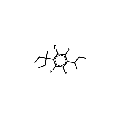 CCC(C)c1c(F)c(F)c(C(C)(CC)CC)c(F)c1F